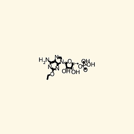 CCOc1nc(N)c2ncn([C@@H]3O[C@H](COP(=O)(O)O)[C@@H](O)[C@@H]3O)c2n1